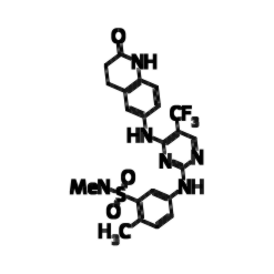 CNS(=O)(=O)c1cc(Nc2ncc(C(F)(F)F)c(Nc3ccc4c(c3)CCC(=O)N4)n2)ccc1C